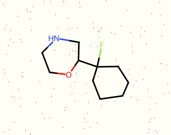 FC1(C2CNCCO2)CCCCC1